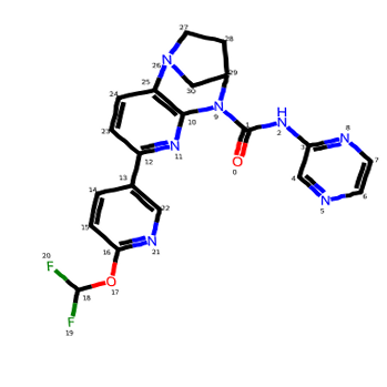 O=C(Nc1cnccn1)N1c2nc(-c3ccc(OC(F)F)nc3)ccc2N2CCC1C2